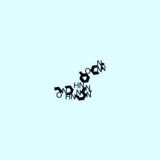 C=CC(=O)N1CCCC(Nc2ccc3ncnc(Nc4ccc(Oc5ccn6ncnc6c5)c(C)c4)c3n2)C1